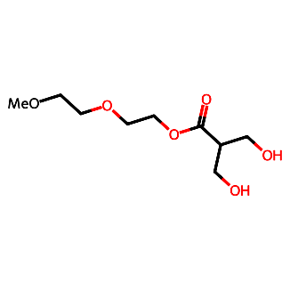 COCCOCCOC(=O)C(CO)CO